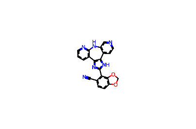 N#Cc1ccc2c(c1-c1nc3c([nH]1)-c1ccncc1Nc1ncccc1-3)OCO2